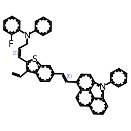 C=Cc1c(/C=C\CN(c2ccccc2)c2ccccc2F)sc2cc(/C=C/c3ccc4c5c3ccc3cccc(c35)n4-c3ccccc3)ccc12